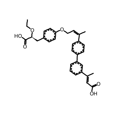 CCO[C@@H](Cc1ccc(OC/C=C(/C)c2ccc(-c3cccc(/C(C)=C/C(=O)O)c3)cc2)cc1)C(=O)O